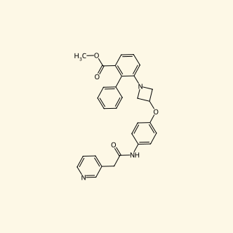 COC(=O)c1cccc(N2CC(Oc3ccc(NC(=O)Cc4cccnc4)cc3)C2)c1-c1ccccc1